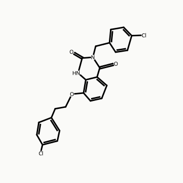 O=c1[nH]c2c(OCCc3ccc(Cl)cc3)cccc2c(=O)n1Cc1ccc(Cl)cc1